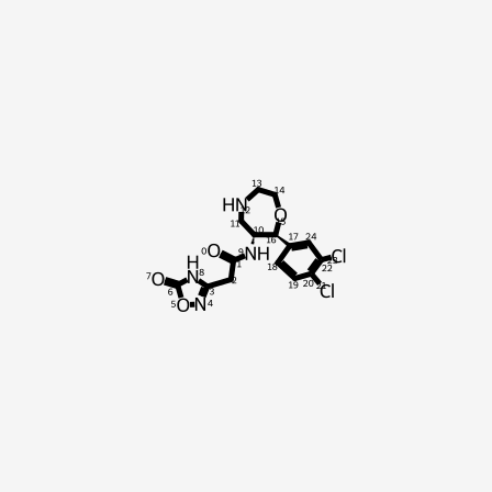 O=C(Cc1noc(=O)[nH]1)N[C@@H]1CNCCO[C@H]1c1ccc(Cl)c(Cl)c1